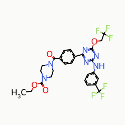 CCOC(=O)N1CCN(C(=O)c2ccc(-c3nc(Nc4cccc(C(F)(F)F)c4)nc(OCC(F)(F)F)n3)cc2)CC1